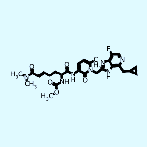 COC(=O)NC(CC/C=C/C(=O)N(C)C)C(=O)Nc1ccc(C)n(Cc2nc3c(F)cnc(CC4CC4)c3[nH]2)c1=O